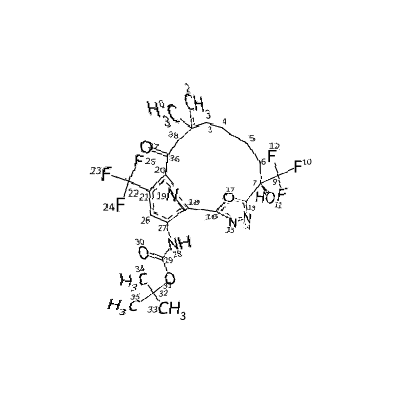 CC1(C)CCCC[C@](O)(C(F)(F)F)c2nnc(o2)-c2nc(c(C(F)(F)F)cc2NC(=O)OC(C)(C)C)C(=O)C1